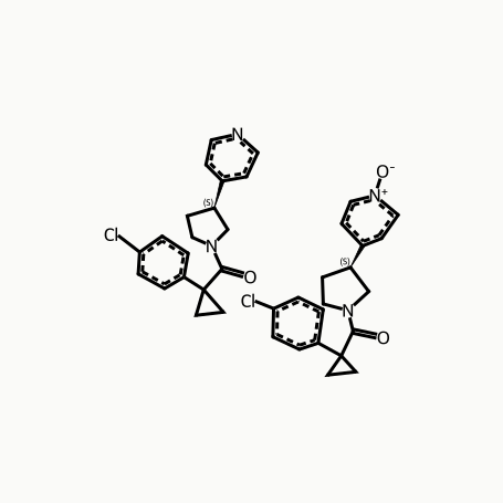 O=C(N1CC[C@@H](c2cc[n+]([O-])cc2)C1)C1(c2ccc(Cl)cc2)CC1.O=C(N1CC[C@@H](c2ccncc2)C1)C1(c2ccc(Cl)cc2)CC1